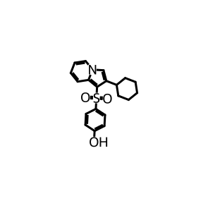 O=S(=O)(c1ccc(O)cc1)c1c(C2CCCCC2)cn2ccccc12